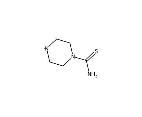 NC(=S)N1CC[N]CC1